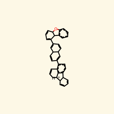 C1=CC2Oc3ccccc3C2C(C2=CC3C=CC(c4ccc5c6c4C=CC[C@@H]6C4C=CC=CC54)=CC3C=C2)=C1